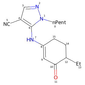 CCCCCn1ncc(C#N)c1NC1=CC(=O)C(CC)CC1